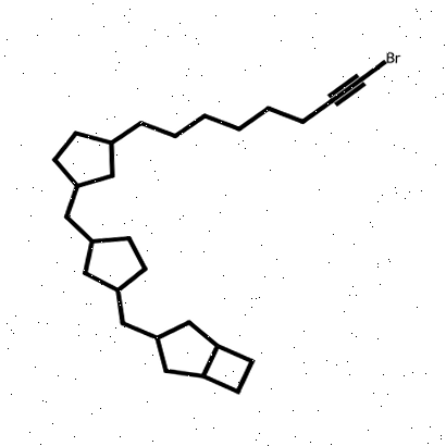 BrC#CCCCCCCC1CCC(CC2CCC(CC3CC4CCC4C3)C2)C1